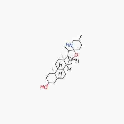 C[C@H]1CC[C@]2(NC1)O[C@@H]1C[C@@H]3[C@H]4CC=C5C[C@@H](O)CC[C@@]5(C)[C@@H]4CC[C@@]3(C)[C@@H]1[C@H]2C